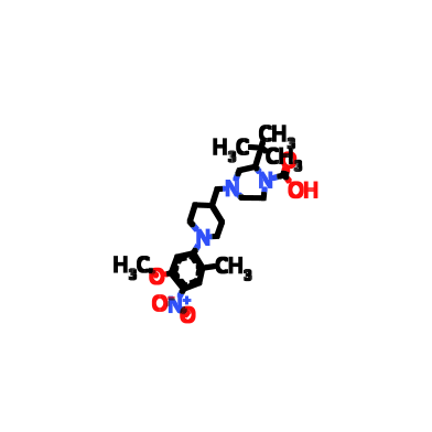 COc1cc(N2CCC(CN3CCN(C(=O)O)C(C(C)(C)C)C3)CC2)c(C)cc1[N+](=O)[O-]